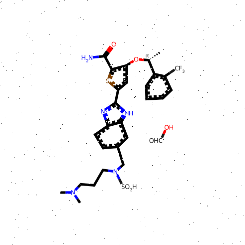 C[C@@H](Oc1cc(-c2nc3ccc(CN(CCCN(C)C)S(=O)(=O)O)cc3[nH]2)sc1C(N)=O)c1ccccc1C(F)(F)F.O=CO